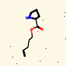 C=CCCCOC(=O)c1ccc[nH]1